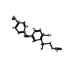 COCCN(C)c1nc(Nc2ccc(C#N)cc2)ncc1I